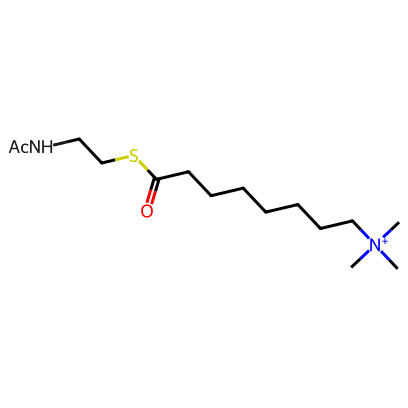 CC(=O)NCCSC(=O)CCCCCCC[N+](C)(C)C